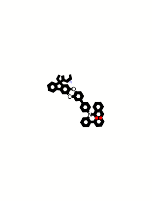 C=C(/C=C\C)C1(CC)c2ccccc2-c2cc3c(cc21)Oc1ccc(-c2ccc(N(c4ccccc4-c4ccccc4)c4cccc5ccccc45)cc2)cc1O3